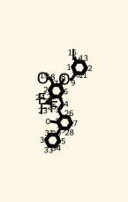 Cc1c(/C=C/c2cc(OCc3cccc(I)c3)c(C=O)cc2C(F)(F)F)cccc1-c1ccccc1